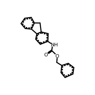 O=C(Nc1ccc2c(c1)Cc1ccccc1-2)OCc1ccccc1